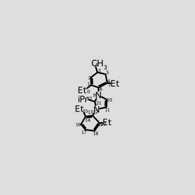 CCC1=CC(C)CC(CC)=C1N1C=CN(c2c(CC)cccc2CC)C1C(C)C